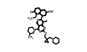 CCc1c(F)ccc2cc(O)cc(-c3ncc4c(N5CCCC(C)C5)nc(OCC5(CN6CCCCC6)CC5)nc4c3F)c12